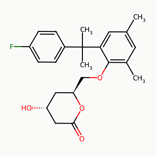 Cc1cc(C)c(OC[C@@H]2C[C@@H](O)CC(=O)O2)c(C(C)(C)c2ccc(F)cc2)c1